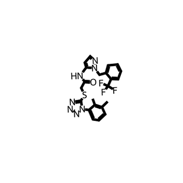 Cc1cccc(-n2nnnc2SCC(=O)Nc2ccnn2Cc2ccccc2C(F)(F)F)c1C